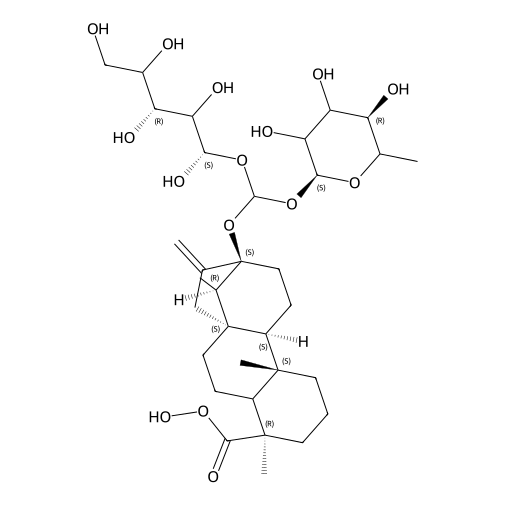 C=C1C[C@@]23CCC4[C@](C)(C(=O)OO)CCC[C@@]4(C)[C@@H]2CC[C@]1(OC(O[C@@H]1OC(C)[C@H](O)C(O)C1O)O[C@H](O)C(O)[C@H](O)C(O)CO)[C@@H]3C